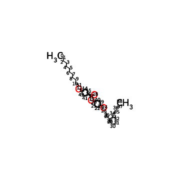 CCCCCCCCCCCCOc1ccc(C(=O)Oc2ccc(OCCCC3CCCCC3CCCCC)cc2)cc1